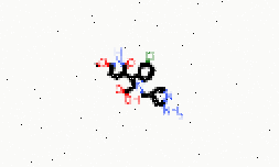 COc1ccc(-c2c(C(=O)O)n(Cc3ccnc(N)c3)c3ccc(Cl)cc23)c(=O)[nH]1